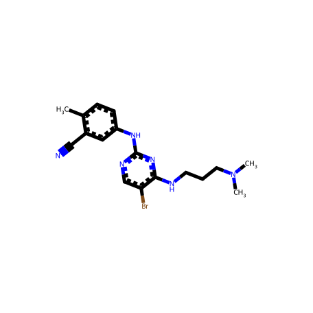 Cc1ccc(Nc2ncc(Br)c(NCCCN(C)C)n2)cc1C#N